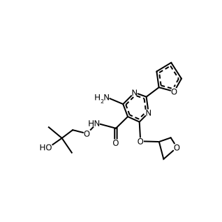 CC(C)(O)CONC(=O)c1c(N)nc(-c2ccco2)nc1OC1COC1